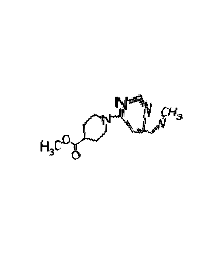 C/N=C\c1cc(N2CCC(C(=O)OC)CC2)ncn1